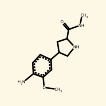 CNC(=O)C1CC(c2ccc(N)c(OC)c2)CN1